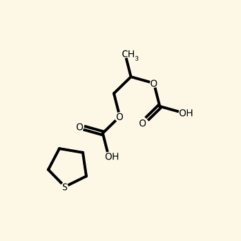 C1CCSC1.CC(COC(=O)O)OC(=O)O